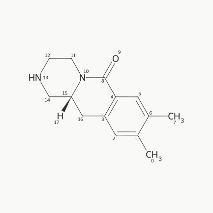 Cc1cc2c(cc1C)C(=O)N1CCNC[C@H]1C2